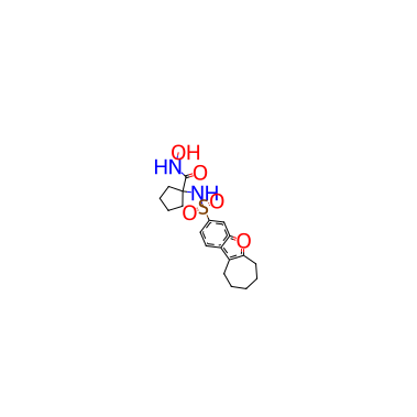 O=C(NO)C1(NS(=O)(=O)c2ccc3c4c(oc3c2)CCCCC4)CCCC1